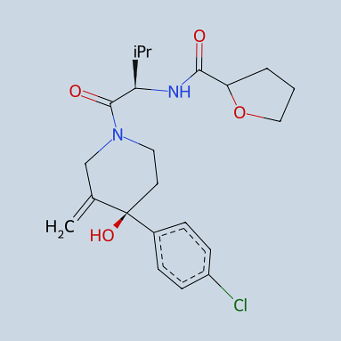 C=C1CN(C(=O)[C@H](NC(=O)C2CCCO2)C(C)C)CC[C@]1(O)c1ccc(Cl)cc1